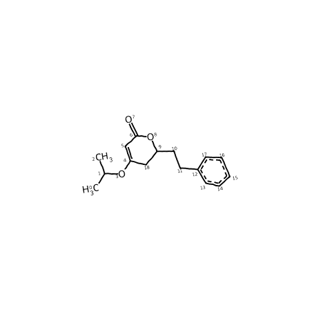 CC(C)OC1=CC(=O)OC(CCc2ccccc2)C1